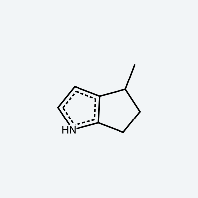 CC1CCc2[nH]ccc21